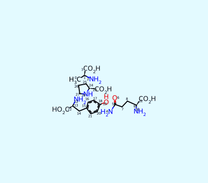 C[C@H](N)C(=O)O.NC(=O)CC[C@H](N)C(=O)O.N[C@@H](Cc1ccc(O)cc1)C(=O)O.O=C(O)[C@@H]1CCCN1